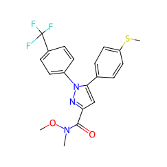 CON(C)C(=O)c1cc(-c2ccc(SC)cc2)n(-c2ccc(C(F)(F)F)cc2)n1